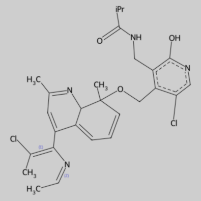 C/C=N\C(C1=CC(C)=NC2C1=CC=CC2(C)OCc1c(Cl)cnc(O)c1CNC(=O)C(C)C)=C(/C)Cl